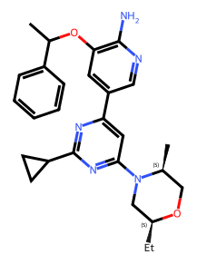 CC[C@H]1CN(c2cc(-c3cnc(N)c(OC(C)c4ccccc4)c3)nc(C3CC3)n2)[C@@H](C)CO1